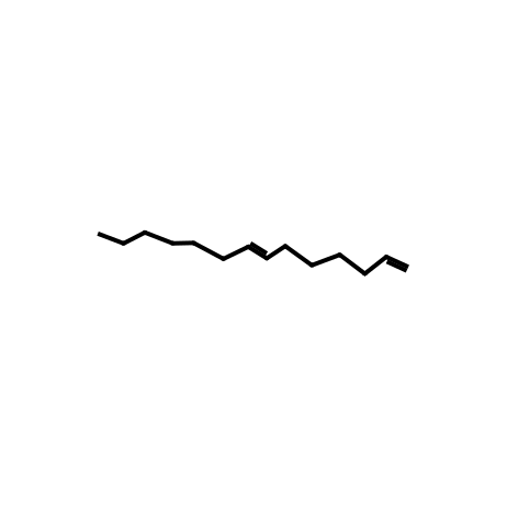 C=CCCCC/C=C/CCCCCC